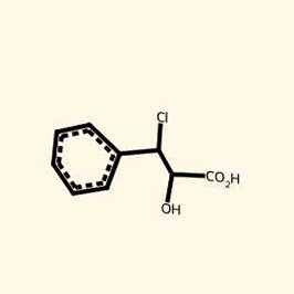 O=C(O)C(O)C(Cl)c1ccccc1